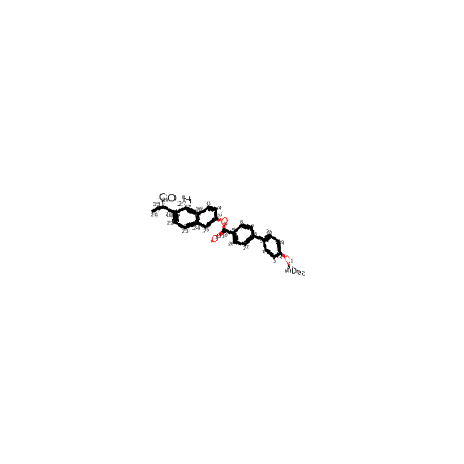 CCCCCCCCCCOc1ccc(-c2ccc(C(=O)Oc3ccc4cc([C@H](C)C(=O)O)ccc4c3)cc2)cc1